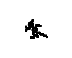 COc1cn(C(CCOC(F)(F)F)C(=O)OC(C)(C)C)c(=O)cc1-c1cc(Cl)ccc1OC(F)F